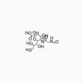 O=CNCC(=O)N[C@H]1C([C@H](O)[C@H](O)CO)OC(O)(C(=O)O)C[C@H]1O